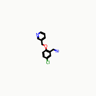 [N]Cc1cc(Cl)ccc1OCc1cccnc1